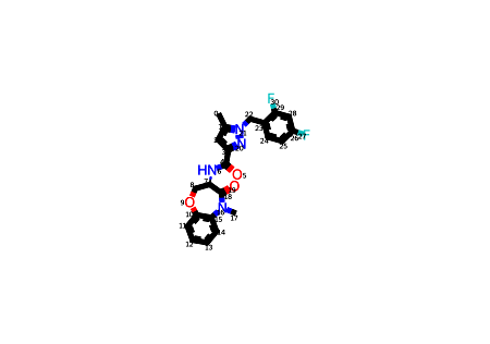 Cc1cc(C(=O)N[C@H]2COc3ccccc3N(C)C2=O)nn1Cc1ccc(F)cc1F